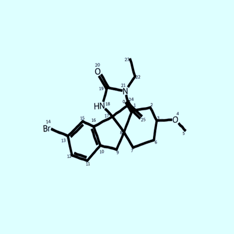 C=C1CC(OC)CCC12Cc1ccc(Br)cc1C21NC(=O)N(CC)C1=C